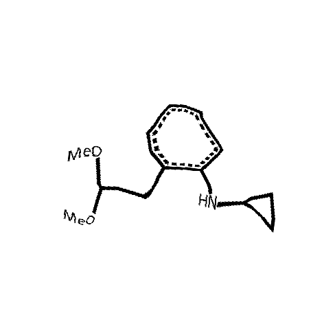 COC(Cc1ccccc1NC1CC1)OC